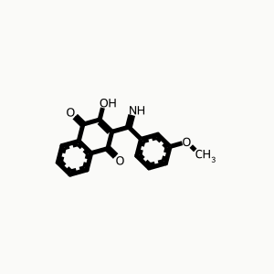 COc1cccc(C(=N)C2=C(O)C(=O)c3ccccc3C2=O)c1